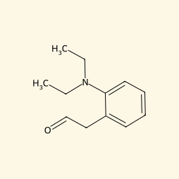 CCN(CC)c1ccccc1CC=O